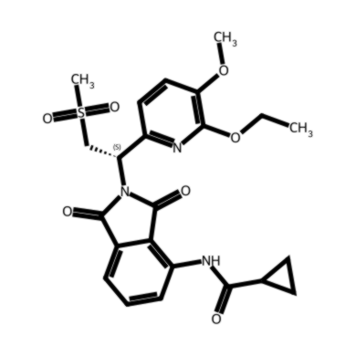 CCOc1nc([C@@H](CS(C)(=O)=O)N2C(=O)c3cccc(NC(=O)C4CC4)c3C2=O)ccc1OC